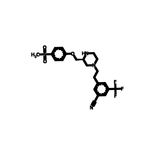 CS(=O)(=O)c1ccc(OC[C@@H]2CN(CCc3cc(C#N)cc(C(F)(F)F)c3)CCN2)cc1